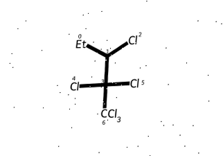 CCC(Cl)C(Cl)(Cl)C(Cl)(Cl)Cl